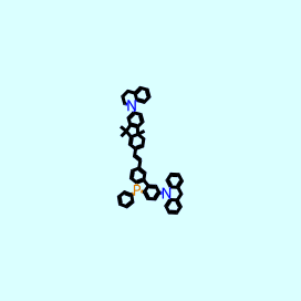 CC1(C)C2=CC(/C=C/c3ccc4c(c3)c3cc(N5c6ccccc6Cc6ccccc65)ccc3p4-c3ccccc3)=CCC2(C)c2ccc(N3CCCc4ccccc43)cc21